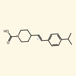 CC(C)c1ccc(/C=C/C2CCN(C(=O)O)CC2)cc1